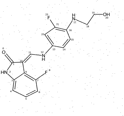 O=C1Nc2cccc(F)c2/C1=C\Nc1ccc(NCCO)c(F)c1